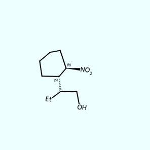 CCC(CO)[C@@H]1CCCC[C@H]1[N+](=O)[O-]